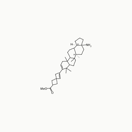 COC(=O)C1CC2(C=C(C3=CCC4(C)C(CCC5(C)C4CCC4[C@H]6CCCC6(N)CC[C@]45C)C3(C)C)C2)C1